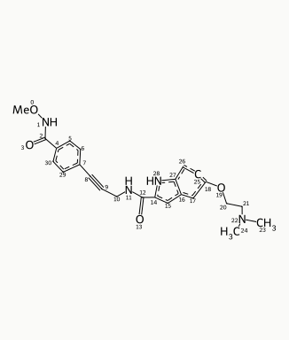 CONC(=O)c1ccc(C#CCNC(=O)c2cc3cc(OCCN(C)C)ccc3[nH]2)cc1